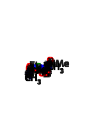 CCC(=O)N[C@H](Cc1ccc(NC(=O)[C@@H](NC(=O)c2ccc(C(=O)NC)n2C)C2CCCCC2)c(F)c1)C(=O)N1CCN(C)CC1